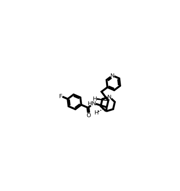 O=C(N[C@@H]1C2CCN(CC2)[C@H]1Cc1cccnc1)c1ccc(F)cc1